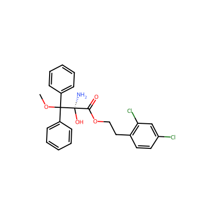 COC(c1ccccc1)(c1ccccc1)[C@](N)(O)C(=O)OCCc1ccc(Cl)cc1Cl